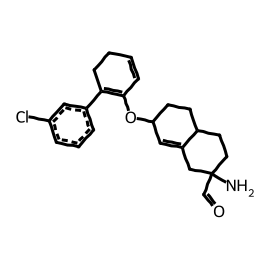 NC1(C=O)CCC2CCC(OC3=C(c4cccc(Cl)c4)CCC=C3)C=C2C1